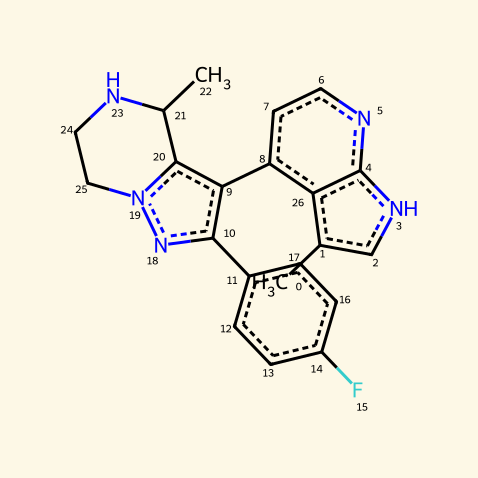 Cc1c[nH]c2nccc(-c3c(-c4ccc(F)cc4)nn4c3C(C)NCC4)c12